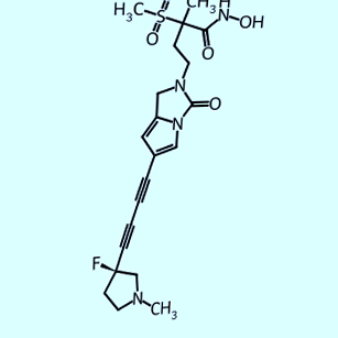 CN1CC[C@](F)(C#CC#Cc2cc3n(c2)C(=O)N(CCC(C)(C(=O)NO)S(C)(=O)=O)C3)C1